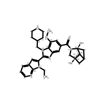 CCn1c(-c2nc3cc(C(=O)N4C[C@H]5CC6C[C@@H]4[C@H]65)cc(OC)c3n2CC2CCOCC2)cc2cccnc21